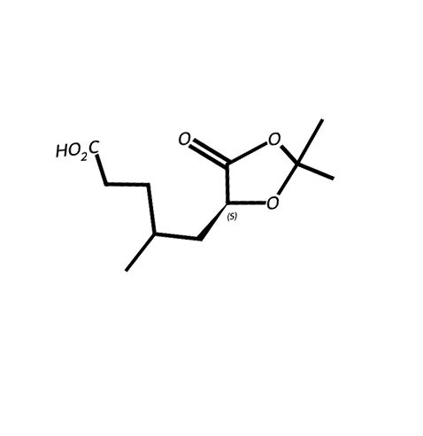 CC(CCC(=O)O)C[C@@H]1OC(C)(C)OC1=O